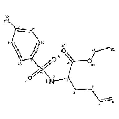 C=CCCC(NS(=O)(=O)c1ccc(Cl)cc1)C(=O)OCC